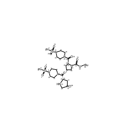 CC(C)S(=O)(=O)N1CCN(C(=O)[C@@H]2CCCN2)CC1.CC(C)S(=O)(=O)N1CCN(C(=O)[C@@H]2CCCN2C(=O)OC(C)(C)C)CC1.Cl